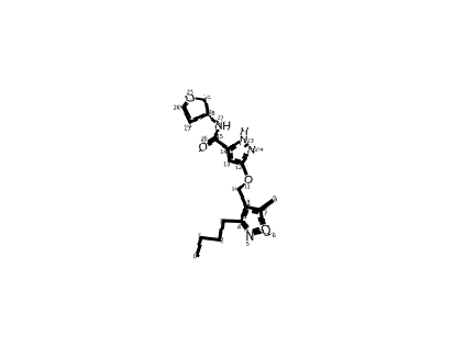 CCCCc1noc(C)c1COc1cc(C(=O)N[C@H]2CCOC2)[nH]n1